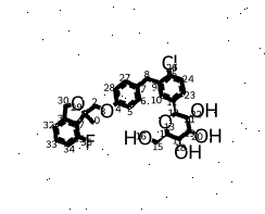 CC1(COc2ccc(Cc3cc([C@@H]4O[C@H](CO)[C@@H](O)[C@H](O)[C@H]4O)ccc3Cl)cc2)OCc2cccc(F)c21